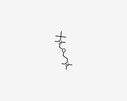 CC(C)(C)[Si](C)(C)COCC[Si](C)(C)C